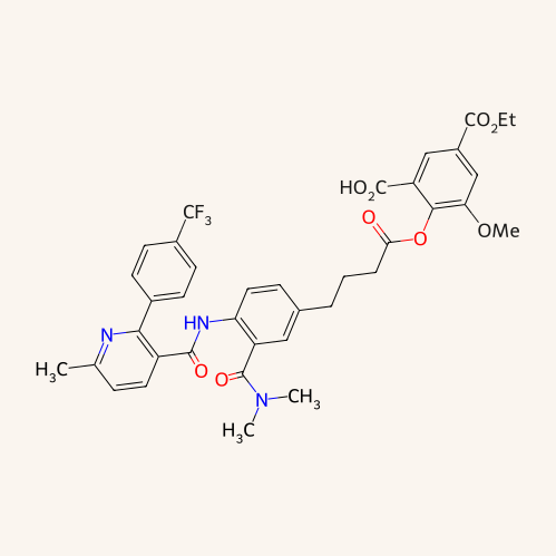 CCOC(=O)c1cc(OC)c(OC(=O)CCCc2ccc(NC(=O)c3ccc(C)nc3-c3ccc(C(F)(F)F)cc3)c(C(=O)N(C)C)c2)c(C(=O)O)c1